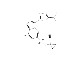 N#CC1(NS(=O)(=O)c2cc(F)c3cnc(-c4nnc(C(F)F)s4)n3c2)CC1